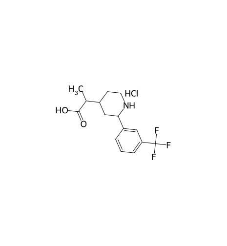 CC(C(=O)O)C1CCNC(c2cccc(C(F)(F)F)c2)C1.Cl